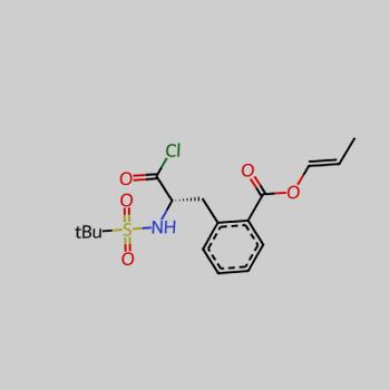 CC=COC(=O)c1ccccc1C[C@H](NS(=O)(=O)C(C)(C)C)C(=O)Cl